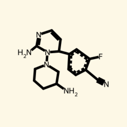 N#Cc1ccc(C2C=CN=C(N)N2N2CCCC(N)C2)cc1F